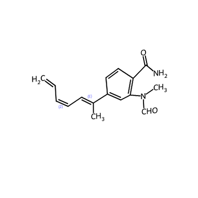 C=C/C=C\C=C(/C)c1ccc(C(N)=O)c(N(C)C=O)c1